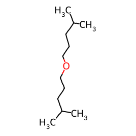 CC(C)CCCOCCCC(C)C